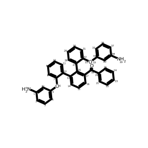 Nc1cccc(Oc2ccccc2-c2cccc(C(=O)c3ccccc3)c2-c2ccccc2Oc2cccc(N)c2)c1